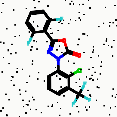 O=c1oc(-c2c(F)cccc2F)nn1-c1cccc(C(F)(F)F)c1Cl